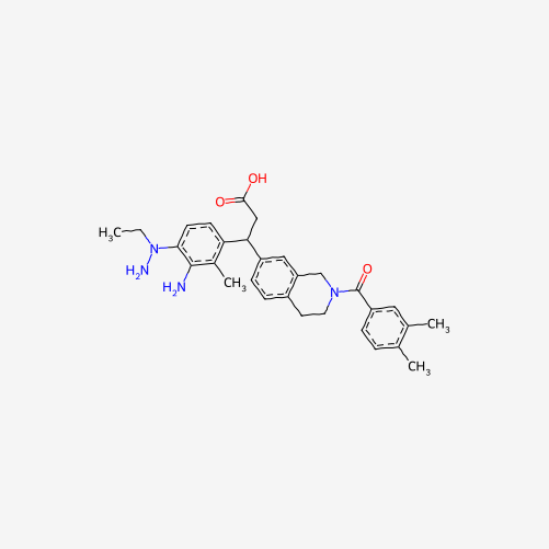 CCN(N)c1ccc(C(CC(=O)O)c2ccc3c(c2)CN(C(=O)c2ccc(C)c(C)c2)CC3)c(C)c1N